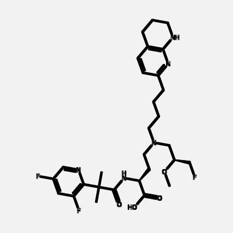 CO[C@H](CF)CN(CCCCc1ccc2c(n1)NCCC2)CC[C@H](NC(=O)C(C)(C)c1ncc(F)cc1F)C(=O)O